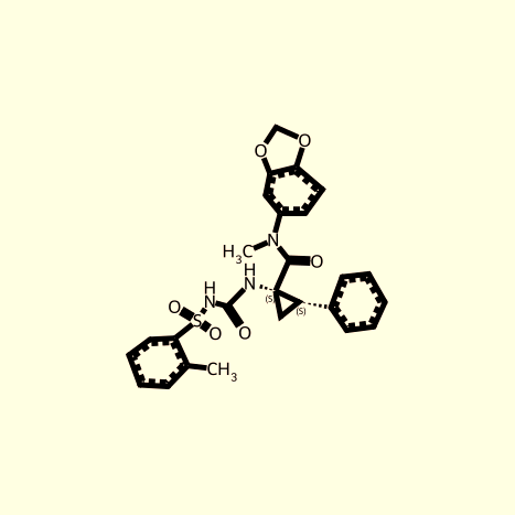 Cc1ccccc1S(=O)(=O)NC(=O)N[C@@]1(C(=O)N(C)c2ccc3c(c2)OCO3)C[C@H]1c1ccccc1